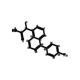 CC(C(=O)O)c1cccc2c(-c3ccc(F)cc3)nccc12